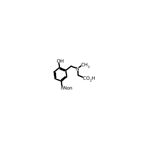 CCCCCCCCCc1ccc(O)c(CN(C)CC(=O)O)c1